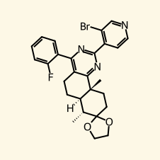 C[C@@H]1[C@H]2CCc3c(-c4ccccc4F)nc(-c4ccncc4Br)nc3[C@]2(C)CCC12OCCO2